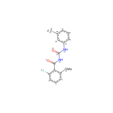 COc1cccc(F)c1C(=O)NC(=O)Nc1cccc(C(F)(F)F)c1